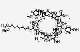 CCC(C)CC(C)CCCCCCCCC(=O)N[C@H]1C[C@@H](O)[C@@H](Sc2ccccc2O)NC(=O)[C@@H]2[C@@H](O)CCN2C(=O)[C@H]([C@H](O)CC(N)=O)NC(=O)[C@H]([C@H](O)[C@@H](O)c2ccc(O)cc2)NC(=O)[C@@H]2C[C@@H](O)CN2C(=O)[C@H]([C@@H](C)O)NC1=O